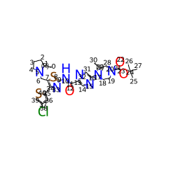 C[C@@H]1CCCN1Cc1sc(NC(=O)c2cnc(N3CCN(C(=O)OC(C)(C)C)C[C@@H]3C)cn2)nc1-c1cc(Cl)cs1